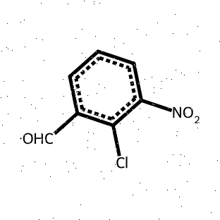 O=[C]c1cccc([N+](=O)[O-])c1Cl